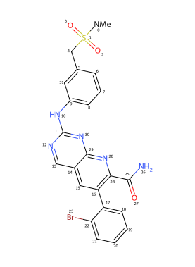 CNS(=O)(=O)Cc1cccc(Nc2ncc3cc(-c4ccccc4Br)c(C(N)=O)nc3n2)c1